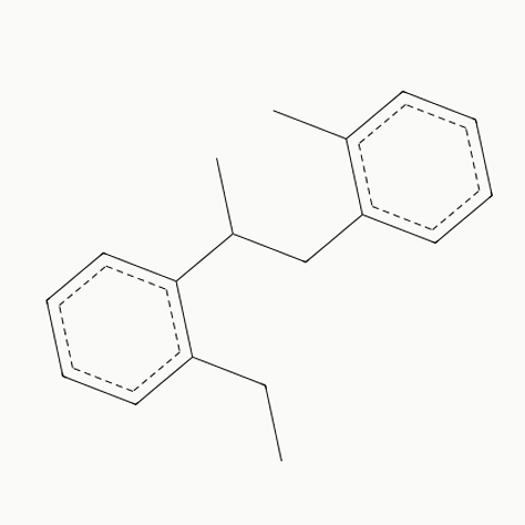 CCc1ccccc1C(C)Cc1ccccc1C